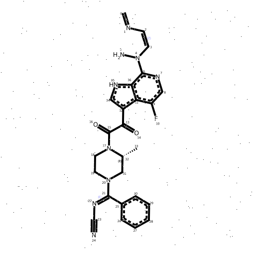 C=N/C=C\N(N)c1ncc(F)c2c(C(=O)C(=O)N3CCN(/C(=N/C#N)c4ccccc4)C[C@H]3C)c[nH]c12